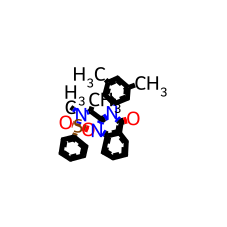 Cc1cc(C)cc(-n2c(C(C)N(C)S(=O)(=O)c3ccccc3)nc3ccccc3c2=O)c1